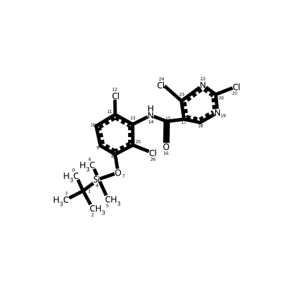 CC(C)(C)[Si](C)(C)Oc1ccc(Cl)c(NC(=O)c2cnc(Cl)nc2Cl)c1Cl